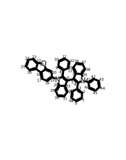 c1ccc(-c2c(-c3c(-c4ccccc4)n(-c4ccc5c(c4)oc4ccccc45)c4ccccc34)c3ccccc3n2-c2ccccc2)cc1